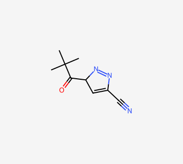 CC(C)(C)C(=O)C1C=C(C#N)N=N1